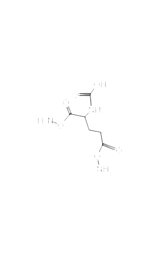 NOC(=O)CCC(NC(=O)O)C(=O)ON